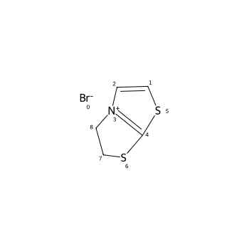 [Br-].c1c[n+]2c(s1)SCC2